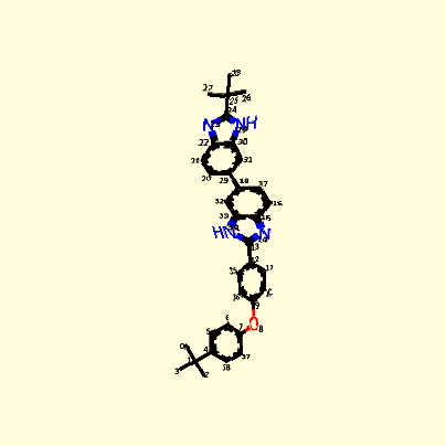 CC(C)(C)c1ccc(Oc2ccc(-c3nc4ccc(-c5ccc6nc(C(C)(C)C)[nH]c6c5)cc4[nH]3)cc2)cc1